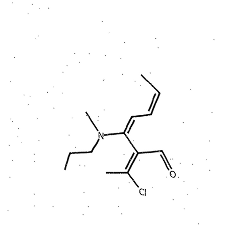 C\C=C/C=C(\C(C=O)=C(/C)Cl)N(C)CCC